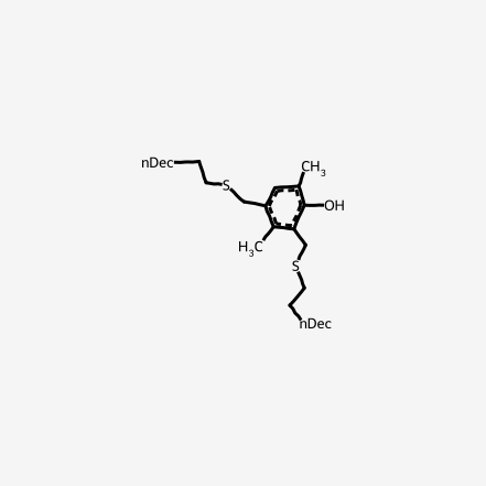 CCCCCCCCCCCCSCc1cc(C)c(O)c(CSCCCCCCCCCCCC)c1C